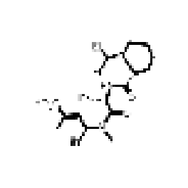 CCC(CC)N1CCCC[C@@H]1C(=O)N[C@H](C(=O)N(C)[C@H](/C=C(\C)C(=O)O)C(C)C)C(C)C